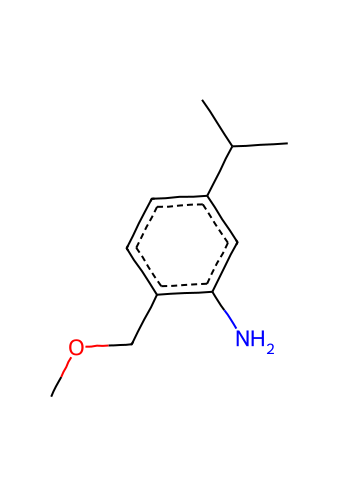 COCc1ccc(C(C)C)cc1N